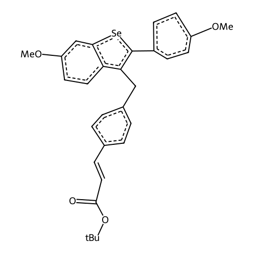 COc1ccc(-c2[se]c3cc(OC)ccc3c2Cc2ccc(/C=C/C(=O)OC(C)(C)C)cc2)cc1